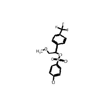 COCC(OS(=O)(=O)c1ccc(Cl)cc1)c1ccc(C(F)(F)F)cc1